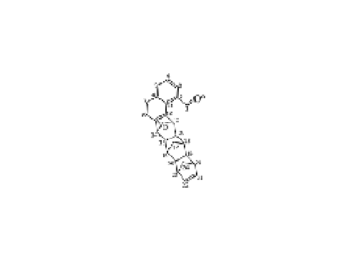 O=Cc1cccc2ccc3c(c12)C1CC3C2C3CC(C4C5C=CC(C5)C34)C12